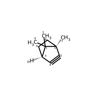 CC1(C)[C@H]2C#C[C@]1(C)CC2